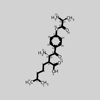 CC(C)CCCC(C(=O)O)[C@H](N)C(=O)c1ccc(OC(=O)[C@H](C)N)cc1